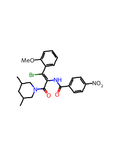 COc1ccccc1C(Br)=C(NC(=O)c1ccc([N+](=O)[O-])cc1)C(=O)N1CC(C)CC(C)C1